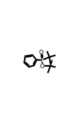 CC(C)(C)OP(=O)(c1ccccc1)C(C)(C)C